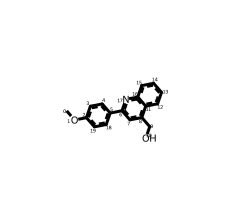 COc1ccc(-c2cc(CO)c3ccccc3n2)cc1